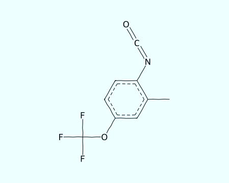 Cc1cc(OC(F)(F)F)ccc1N=C=O